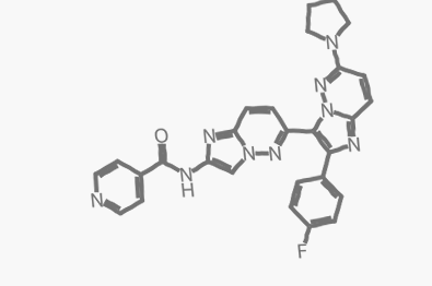 O=C(Nc1cn2nc(-c3c(-c4ccc(F)cc4)nc4ccc(N5CCCC5)nn34)ccc2n1)c1ccncc1